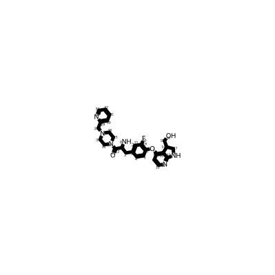 NC(Cc1ccc(Oc2ccnc3c2C(CO)CN3)c(F)c1)C(=O)N1CCN(Cc2ccccn2)CC1